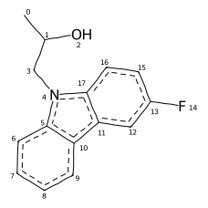 CC(O)Cn1c2ccccc2c2cc(F)ccc21